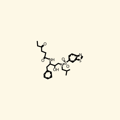 CCC(=O)CCC(=O)NC(Cc1ccccc1)C(O)CN(CC(C)C)S(=O)(=O)c1ccc2ncsc2c1